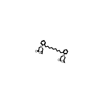 c1ccc(N(CC2CO2)CC2CO2)c(CCCCCCCCCc2ccccc2N(CC2CO2)CC2CO2)c1